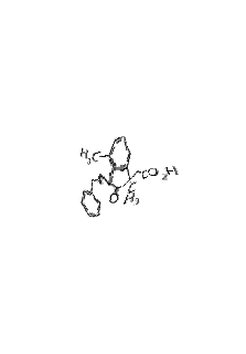 Cc1cccc2c1N(Cc1ccccc1)C(=O)[C@]2(C)CC(=O)O